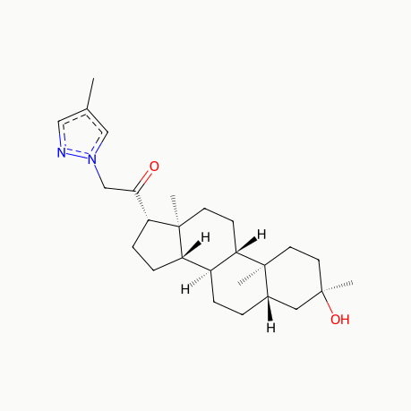 Cc1cnn(CC(=O)[C@H]2CC[C@H]3[C@@H]4CC[C@H]5C[C@](C)(O)CC[C@]5(C)[C@H]4CC[C@]23C)c1